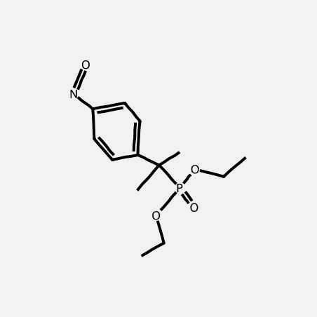 CCOP(=O)(OCC)C(C)(C)c1ccc(N=O)cc1